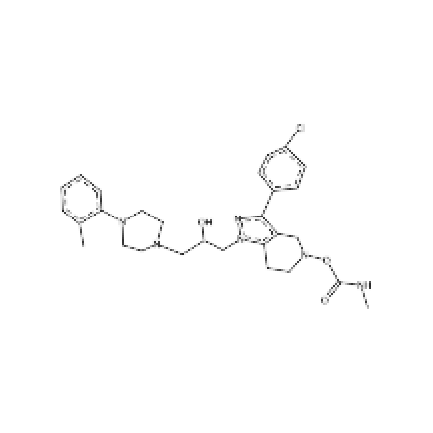 CNC(=O)ON1CCc2c(c(-c3ccc(Cl)cc3)nn2CC(O)CN2CCN(c3ccccc3C)CC2)C1